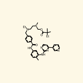 CCN(CCN(C)COC(=O)C(C)(C)CC)Cc1ccc(C(=O)Nc2ccc(C)c(Nc3nccc(-c4cccnc4)n3)c2)cc1